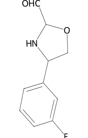 O=CC1NC(c2cccc(F)c2)CO1